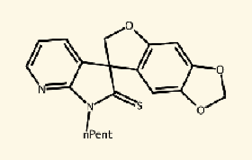 CCCCCN1C(=S)C2(COc3cc4c(cc32)OCO4)c2cccnc21